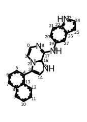 C1=CN2C(c3cccc4ccccc34)=CNC2C(Nc2ccc3[nH]ccc3c2)=N1